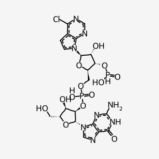 Nc1nc2c(ncn2[C@@H]2O[C@H](CO)[C@@H](O)[C@H]2OP(=O)(O)OC[C@H]2O[C@@H](n3ccc4c(Cl)ncnc43)[C@H](O)[C@@H]2O[PH](=O)O)c(=O)[nH]1